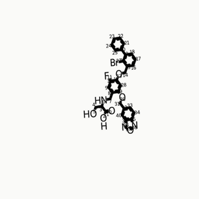 O=C(O)C(CO)NCc1cc(F)c(OCc2cccc(-c3ccccc3)c2Br)cc1OCc1ccc2nonc2c1